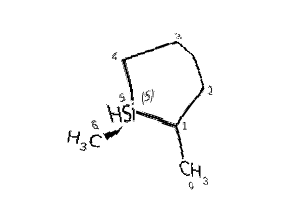 CC1CCC[Si@@H]1C